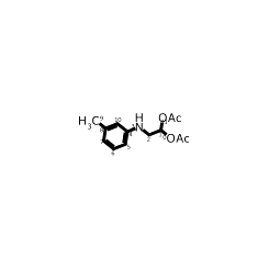 CC(=O)OC(CNc1cccc(C)c1)OC(C)=O